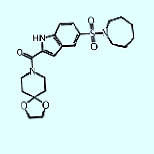 O=C(c1cc2cc(S(=O)(=O)N3CCCCCC3)ccc2[nH]1)N1CCC2(CC1)OCCO2